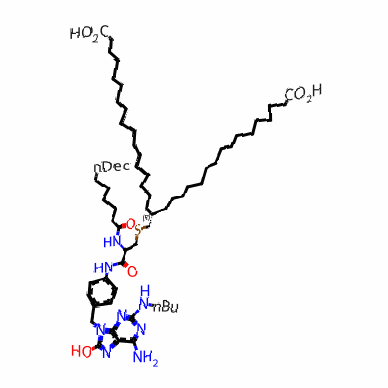 CCCCCCCCCCCCCCCC(=O)NC(CSC[C@H](CCCCCCCCCCCCCCCCC(=O)O)CCCCCCCCCCCCCCCC(=O)O)C(=O)Nc1ccc(Cn2c(O)nc3c(N)nc(NCCCC)nc32)cc1